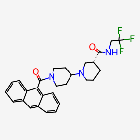 O=C(NCC(F)(F)F)[C@@H]1CCCN(C2CCN(C(=O)c3c4ccccc4cc4ccccc34)CC2)C1